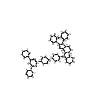 c1ccc(-c2nc(-c3ccccc3)nc(-c3ccc(-c4ccc(-n5c6ccccc6c6ccc7c(cc8c9ccccc9c9ccccc9n87)c65)cc4)cc3)n2)cc1